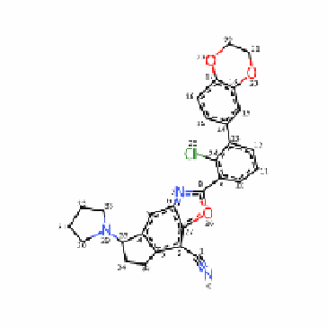 N#Cc1c2c(cc3nc(-c4cccc(-c5ccc6c(c5)OCCO6)c4Cl)oc13)C(N1CCCC1)CC2